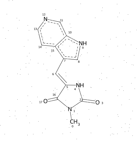 CN1C(=O)N/C(=C\c2c[nH]c3cnccc23)C1=O